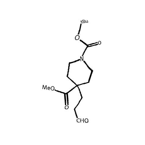 COC(=O)C1(CCC=O)CCN(C(=O)OC(C)(C)C)CC1